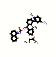 CCn1c2ccc(/C(=N/OC(=O)Nc3cccc4ccccc34)c3ccc(OC(C)COC)cc3C)cc2c2cc([N+](=O)[O-])ccc21